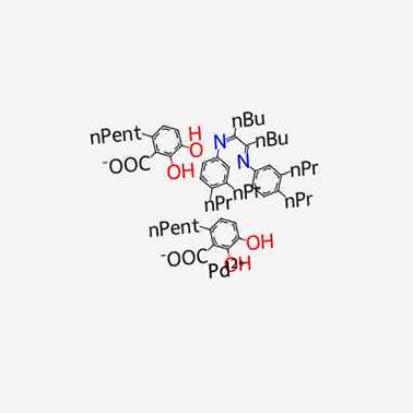 CCCCC(=Nc1ccc(CCC)c(CCC)c1)C(CCCC)=Nc1ccc(CCC)c(CCC)c1.CCCCCc1ccc(O)c(O)c1C(=O)[O-].CCCCCc1ccc(O)c(O)c1C(=O)[O-].[Pd+2]